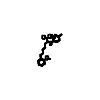 COc1ccccc1CCCCCC(Sc1ccc(C)cc1)C(=O)O